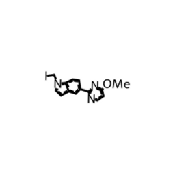 COc1ccnc(-c2ccc3c(ccn3CI)c2)n1